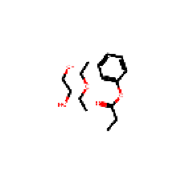 CCC(=O)Oc1ccccc1.CCOCC.OCCO